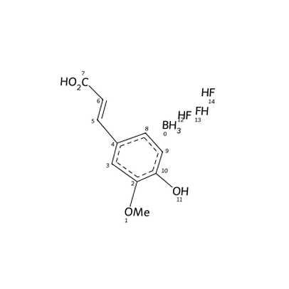 B.COc1cc(C=CC(=O)O)ccc1O.F.F.F